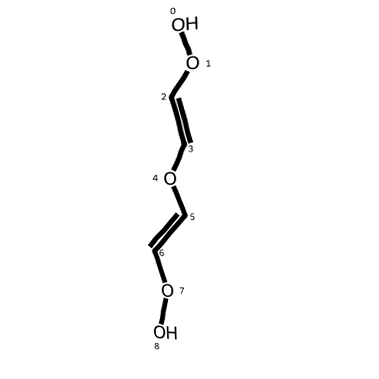 OOC=COC=COO